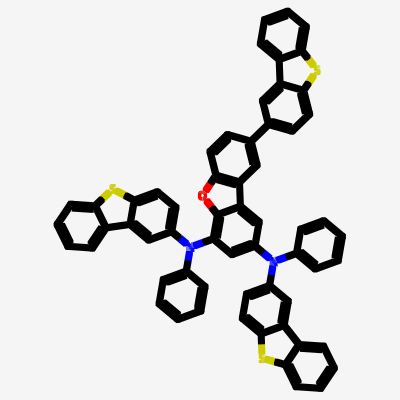 c1ccc(N(c2ccc3sc4ccccc4c3c2)c2cc(N(c3ccccc3)c3ccc4sc5ccccc5c4c3)c3oc4ccc(-c5ccc6sc7ccccc7c6c5)cc4c3c2)cc1